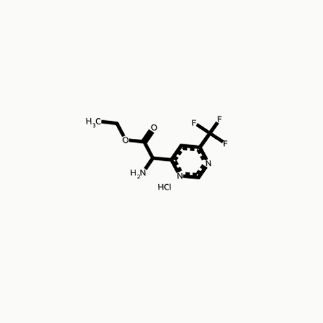 CCOC(=O)C(N)c1cc(C(F)(F)F)ncn1.Cl